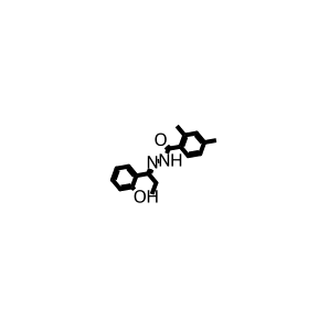 CC/C(=N\NC(=O)c1ccc(C)cc1C)c1ccccc1O